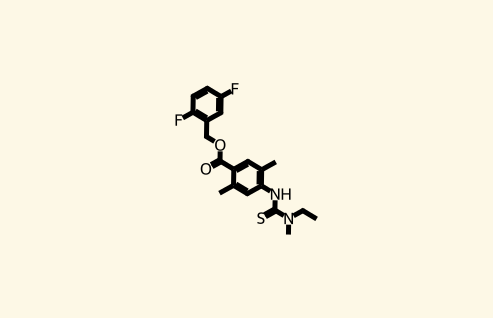 CCN(C)C(=S)Nc1cc(C)c(C(=O)OCc2cc(F)ccc2F)cc1C